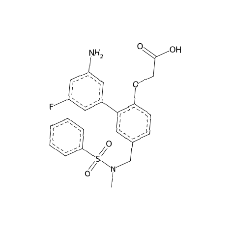 CN(Cc1ccc(OCC(=O)O)c(-c2cc(N)cc(F)c2)c1)S(=O)(=O)c1ccccc1